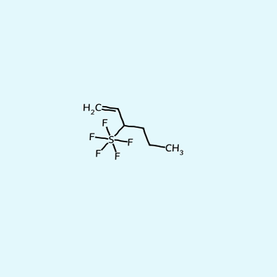 C=CC(CCC)S(F)(F)(F)(F)F